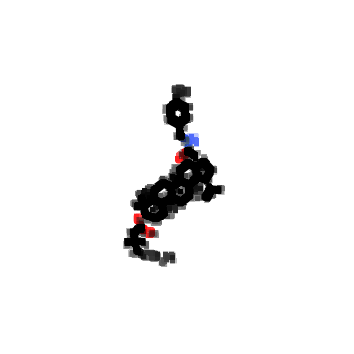 C=C(C)[C@@H]1CC[C@]2(CC(=O)NCc3ccc(C(C)(C)C)cc3)CC[C@]3(C)[C@H](CC[C@@H]4[C@@]5(C)CC[C@H](OC(=O)CC(C)(C)CC(=O)O)C(C)(C)[C@@H]5CC[C@]43C)[C@@H]12